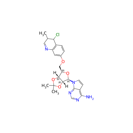 CC1C=Nc2cc(OC[C@H]3O[C@@H](n4ccc5c(N)ncnc54)[C@@H]4OC(C)(C)O[C@@H]43)ccc2C1Cl